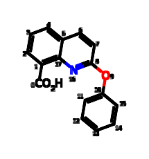 O=C(O)c1cccc2ccc(Oc3ccccc3)nc12